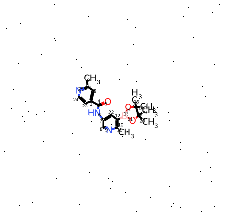 Cc1cc(C(=O)Nc2cnc(C)c(B3OC(C)(C)C(C)(C)O3)c2)ccn1